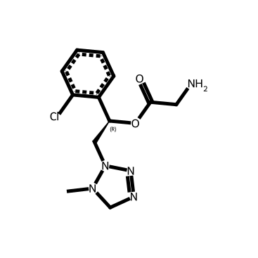 CN1CN=NN1C[C@H](OC(=O)CN)c1ccccc1Cl